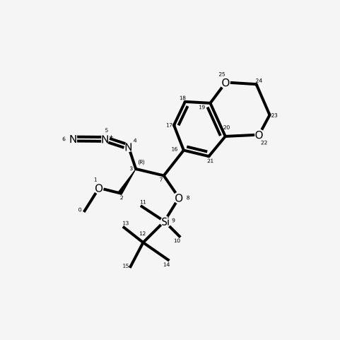 COC[C@@H](N=[N+]=[N-])C(O[Si](C)(C)C(C)(C)C)c1ccc2c(c1)OCCO2